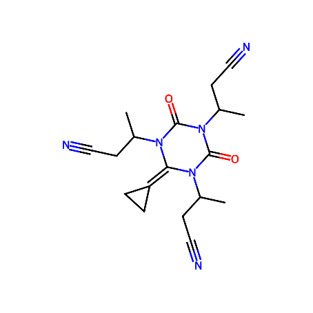 CC(CC#N)N1C(=O)N(C(C)CC#N)C(=C2CC2)N(C(C)CC#N)C1=O